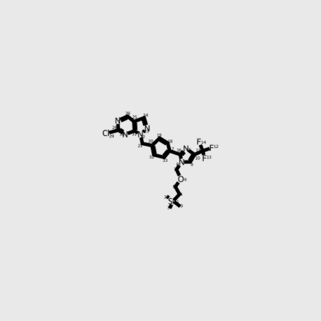 C[Si](C)(C)CCOCn1cc(C(F)(F)F)nc1-c1ccc(Cn2ncc3cnc(Cl)nc32)cc1